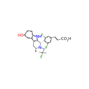 C[C@H]1Cc2c([nH]c3ccc(O)cc23)[C@H](c2c(F)cc(/C=C/C(=O)O)cc2F)N1CC(C)(C)F